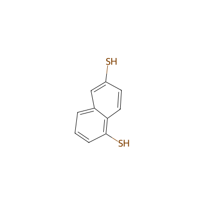 Sc1ccc2c(S)cccc2c1